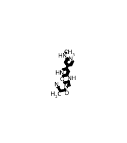 C=C(C#N)C(=O)N1CC(Nc2cc(-c3ccnc(NC)c3)c[nH]c2=O)C1